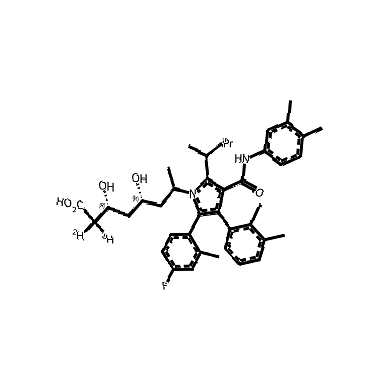 [2H]C([2H])(C(=O)O)[C@H](O)C[C@H](O)CC(C)n1c(-c2ccc(F)cc2C)c(-c2cccc(C)c2C)c(C(=O)Nc2ccc(C)c(C)c2)c1C(C)C(C)C